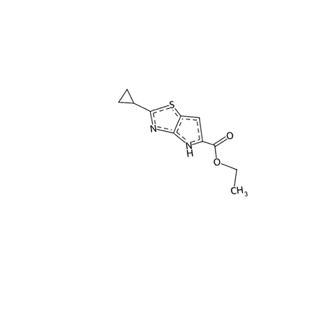 CCOC(=O)c1cc2sc(C3CC3)nc2[nH]1